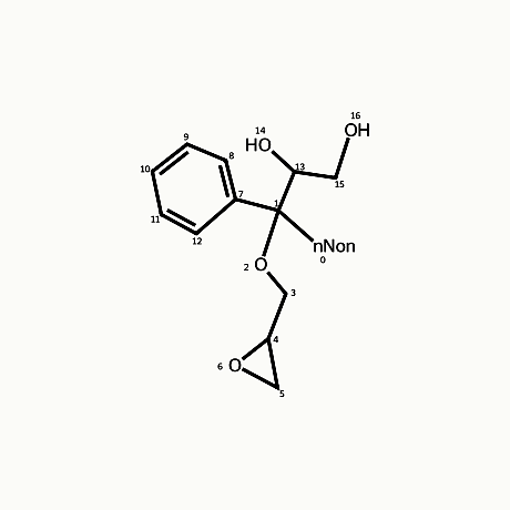 CCCCCCCCCC(OCC1CO1)(c1ccccc1)C(O)CO